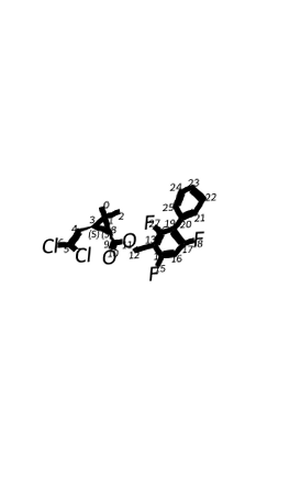 CC1(C)[C@H](C=C(Cl)Cl)[C@@H]1C(=O)OCc1c(F)cc(F)c(-c2ccccc2)c1F